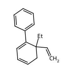 C=CC1(CC)CC=CC=C1c1ccccc1